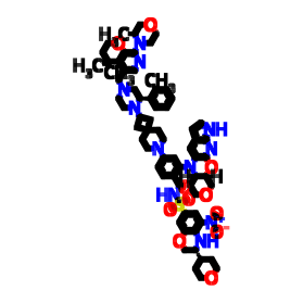 Cc1ccccc1[C@@H]1CN(Cc2cnc(N3CCOC[C@@H]3C)c3c2C(C)(C)CCO3)CCN1C1CC2(CCN(c3ccc(C(=O)NS(=O)(=O)c4cc5c(c([N+](=O)[O-])c4)N[C@H](C4CCOCC4)CO5)c(N4c5cc6cc[nH]c6nc5O[C@H]5COCC[C@@H]54)c3)CC2)C1